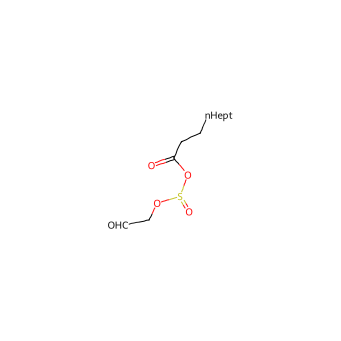 CCCCCCCCCC(=O)OS(=O)OCC=O